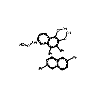 CC(C)c1c(OO)c(OO)c2ccccc2c1C(C)C.CC(C)c1ccc2cc(C(C)C)ccc2c1.OOO